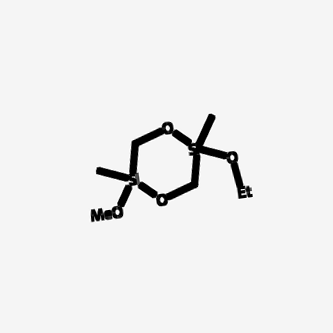 CCO[Si]1(C)CO[Si](C)(OC)CO1